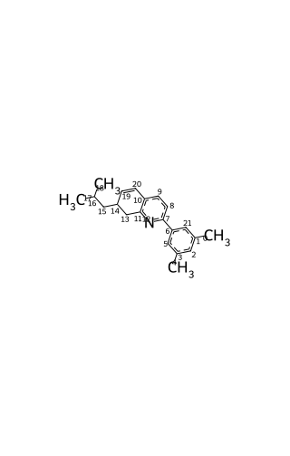 Cc1cc(C)cc(-c2ccc3c(n2)CC(CC(C)C)C=C3)c1